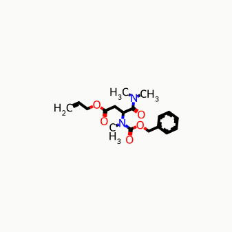 C=CCOC(=O)CC(C(=O)N(C)C)N(C)C(=O)OCc1ccccc1